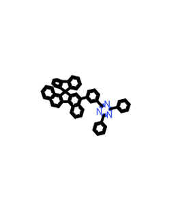 c1ccc(-c2nc(-c3ccccc3)nc(-c3cccc(-c4cc5c(c6ccccc46)-c4ccc6ccccc6c4C54c5ccccc5-c5ccccc54)c3)n2)cc1